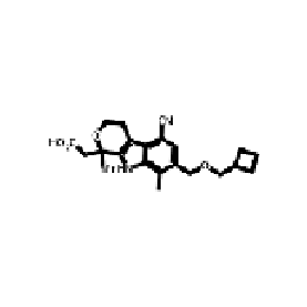 CCCC1(CC(=O)O)OCCc2c1[nH]c1c(C)c(COCC3CCC3)cc(C#N)c21